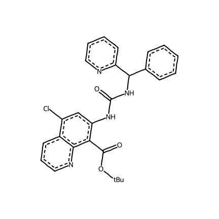 CC(C)(C)OC(=O)c1c(NC(=O)NC(c2ccccc2)c2ccccn2)cc(Cl)c2cccnc12